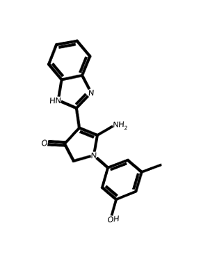 Cc1cc(O)cc(N2CC(=O)C(c3nc4ccccc4[nH]3)=C2N)c1